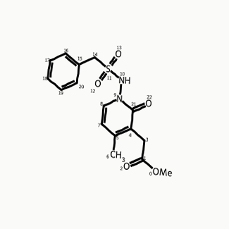 COC(=O)Cc1c(C)ccn(NS(=O)(=O)Cc2ccccc2)c1=O